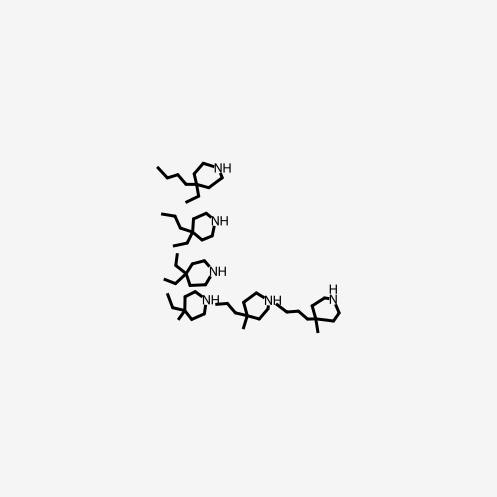 CCC1(C)CCNCC1.CCC1(CC)CCNCC1.CCCC1(C)CCNCC1.CCCC1(CC)CCNCC1.CCCCC1(C)CCNCC1.CCCCC1(CC)CCNCC1